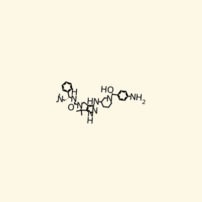 CN(C)C[C@@H](NC(=O)N1Cc2c(NC3CCCN(C(O)c4ccc(N)cc4)C3)n[nH]c2C1(C)C)c1ccccc1